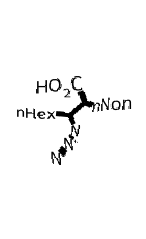 CCCCCCCCCC(C(=O)O)C(CCCCCC)N=[N+]=[N-]